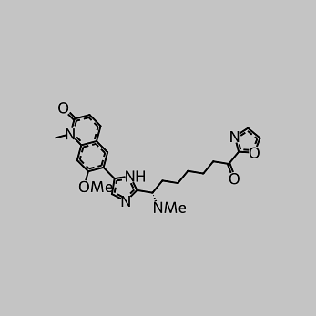 CN[C@@H](CCCCCC(=O)c1ncco1)c1ncc(-c2cc3ccc(=O)n(C)c3cc2OC)[nH]1